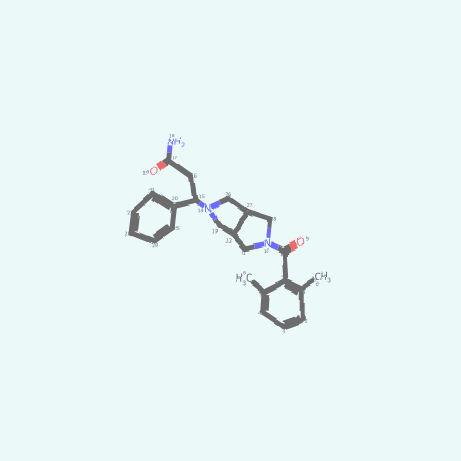 Cc1cccc(C)c1C(=O)N1CC2CN(C(CC(N)=O)c3ccccc3)CC2C1